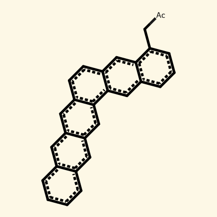 CC(=O)Cc1cccc2cc3c(ccc4cc5cc6ccccc6cc5cc43)cc12